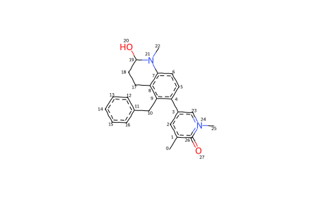 Cc1cc(-c2ccc3c(c2Cc2ccccc2)CCC(O)N3C)cn(C)c1=O